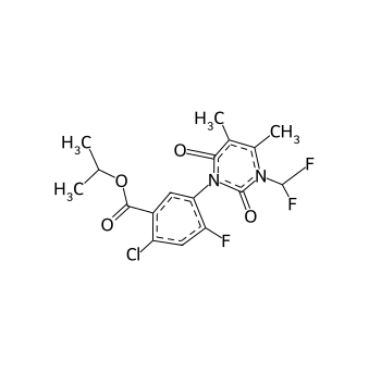 Cc1c(C)n(C(F)F)c(=O)n(-c2cc(C(=O)OC(C)C)c(Cl)cc2F)c1=O